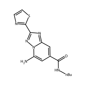 CCCCNC(=O)c1cc(N)n2nc(-c3nccs3)nc2c1